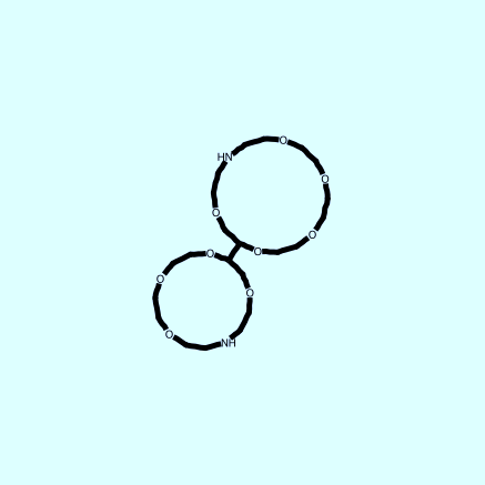 C1COCCOCCOCCOC(C2COCCNCCOCCOCCO2)COCCN1